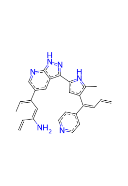 C=C/C=C(/c1ccncc1)c1cc(-c2n[nH]c3ncc(C(/C=C(/N)C=C)=C/C)cc23)[nH]c1C